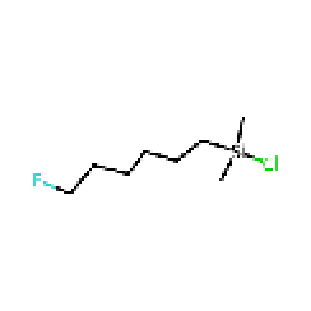 C[Si](C)(Cl)CCCCCCF